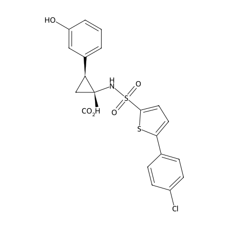 O=C(O)[C@@]1(NS(=O)(=O)c2ccc(-c3ccc(Cl)cc3)s2)C[C@H]1c1cccc(O)c1